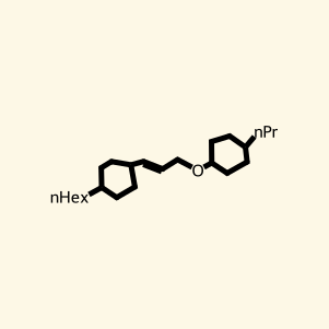 CCCCCCC1CCC(C=CCOC2CCC(CCC)CC2)CC1